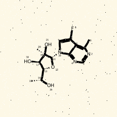 Cc1ncnc2c1c(F)cn2[C@@H]1O[C@H]([C@@H](C)O)[C@@H](O)[C@@]1(C)O